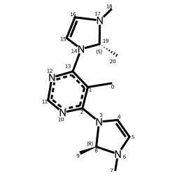 Cc1c(N2C=CN(C)[C@H]2C)ncnc1N1C=CN(C)[C@@H]1C